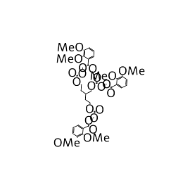 COc1cccc(C(=O)OOC(=O)OCCC(CCOC(=O)OOC(=O)c2cccc(OC)c2OC)COC(=O)OOC(=O)c2cccc(OC)c2OC)c1OC